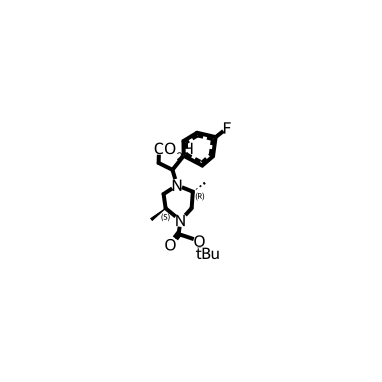 C[C@@H]1CN(C(=O)OC(C)(C)C)[C@@H](C)CN1C(CC(=O)O)c1ccc(F)cc1